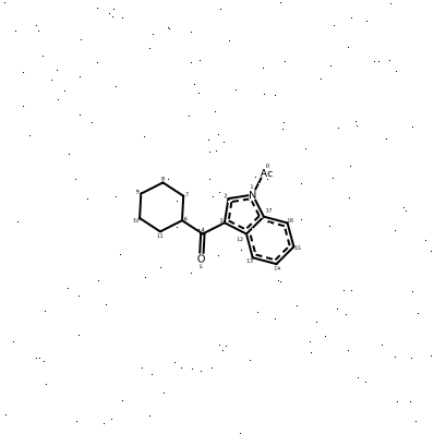 CC(=O)n1cc(C(=O)C2CCCCC2)c2ccccc21